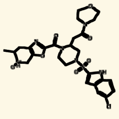 CC1Cc2nc(C(=O)N3CCN(S(=O)(=O)c4cc5cc(Cl)ccc5[nH]4)CC3CC(=O)N3CCOCC3)oc2C[NH+]1[O-]